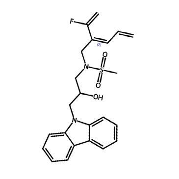 C=C/C=C(/CN(CC(O)Cn1c2ccccc2c2ccccc21)S(C)(=O)=O)C(=C)F